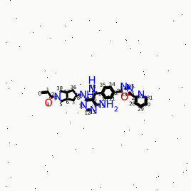 C=CC(=O)N1CC2CC(Nc3ncnc(N)c3C(=N)c3ccc(-c4nnc(-c5ccccn5)o4)cc3)CC2C1